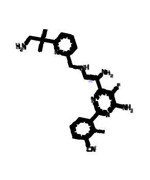 Cc1c(C#N)cccc1-c1nc(N)c(F)c(/C(N)=C/NCc2cccc(C(C)(C)CN)n2)n1